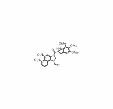 COc1cc2cc(C(=O)N3CC(CCl)c4c3cc([N+](=O)[O-])c3c([N+](=O)[O-])cccc43)[nH]c2c(OC)c1OC